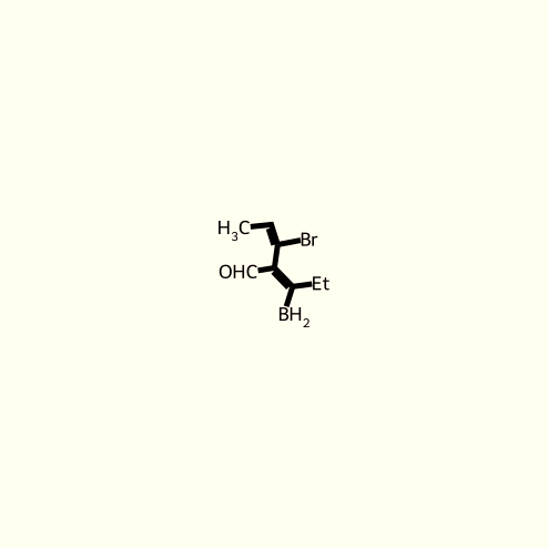 B/C(CC)=C(C=O)/C(Br)=C\C